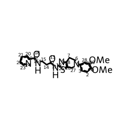 COc1ccc(N2CCc3nc(NC(=O)CCNC(=O)c4ccccn4)sc3C2)cc1OC